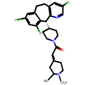 CCCCC1CC(=CC(=O)N2CCC([C@H]3c4ncc(Br)cc4CCc4cc(Cl)cc(Br)c43)CC2)CCN1C(=O)O